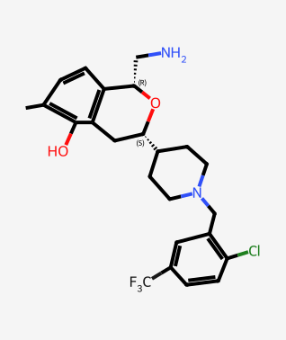 Cc1ccc2c(c1O)C[C@@H](C1CCN(Cc3cc(C(F)(F)F)ccc3Cl)CC1)O[C@H]2CN